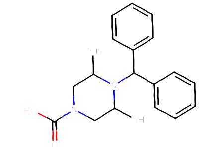 CC1CN(C(=O)O)CC(C)N1C(c1ccccc1)c1ccccc1